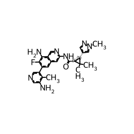 Cc1c(N)cncc1-c1cc2cc(NC(=O)[C@H]3[C@H](c4cnn(C)c4)C3(C)C)ncc2c(N)c1F